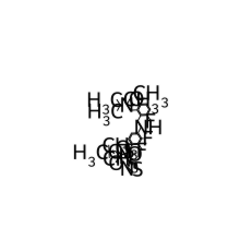 COc1ccc(F)c(CNc2ccc(S(=O)(=O)N(C(=O)OC(C)(C)C)c3cscn3)c(F)c2F)c1CN(C)C(C)C